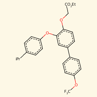 CCOC(=O)COc1ccc(-c2ccc(OC(F)(F)F)cc2)cc1Oc1ccc(C(C)C)cc1